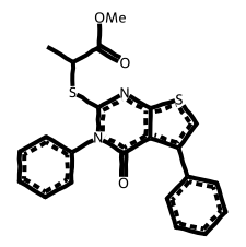 COC(=O)C(C)Sc1nc2scc(-c3ccccc3)c2c(=O)n1-c1ccccc1